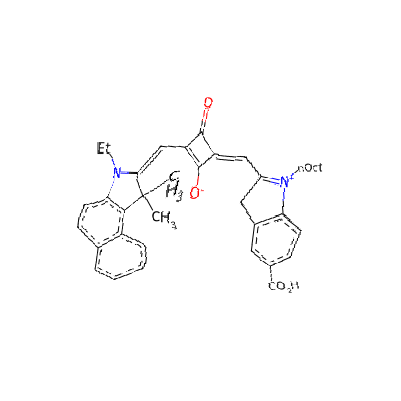 CCCCCCCC[N+]1=C(C=C2C(=O)C(C=C3N(CC)c4ccc5ccccc5c4C3(C)C)=C2[O-])Cc2cc(C(=O)O)ccc21